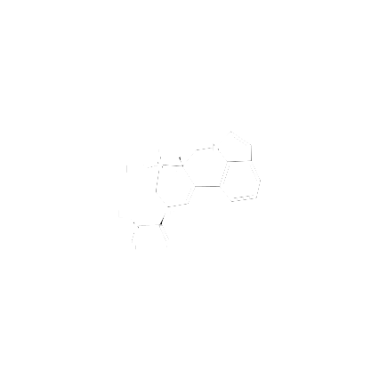 CCN(CC)C(=O)[C@@H]1C=C2c3cccc4ccn(c34)C[C@H]2[N+](C)(C)C1.[I-]